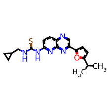 CC(C)c1ccc(-c2cnc3ccc(NC(=S)NCC4CC4)nc3n2)o1